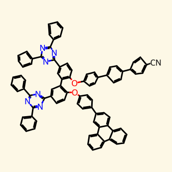 N#Cc1ccc(-c2ccc(-c3ccc(Oc4ccc(-c5nc(-c6ccccc6)nc(-c6ccccc6)n5)cc4-c4cc(-c5nc(-c6ccccc6)nc(-c6ccccc6)n5)ccc4Oc4ccc(-c5ccc6c7ccccc7c7ccccc7c6c5)cc4)cc3)cc2)cc1